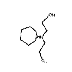 C1CCCCC1.OCCNCCO